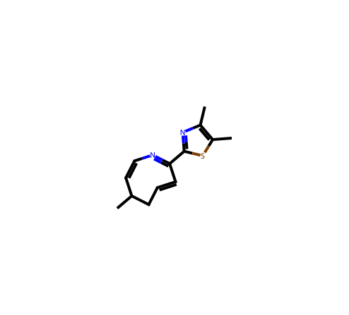 Cc1nc(C2=N/C=C\C(C)C\C=C\2)sc1C